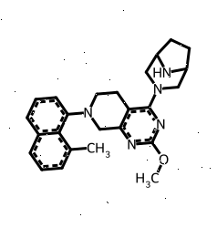 COc1nc2c(c(N3CC4CCC(C3)N4)n1)CCN(c1cccc3cccc(C)c13)C2